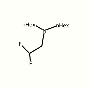 CCCCCCN(CCCCCC)CC(F)F